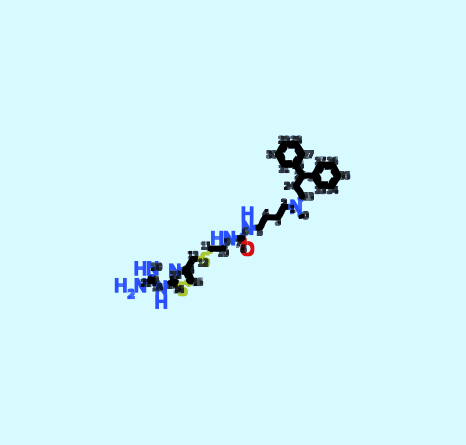 CN(CCCCNC(=O)NCCSCc1csc(NC(=N)N)n1)CCC(c1ccccc1)c1ccccc1